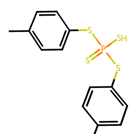 Cc1ccc(SP(=S)(S)Sc2ccc(C)cc2)cc1